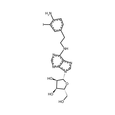 Nc1ccc(CCNc2ncnc3c2ncn3[C@@H]2O[C@H](CO)[C@@H](O)[C@H]2O)cc1I